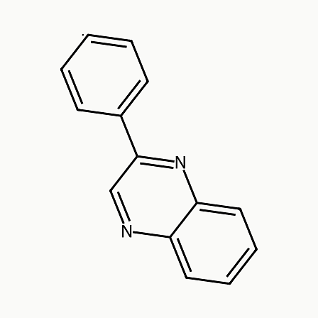 [c]1ccc(-c2cnc3ccccc3n2)cc1